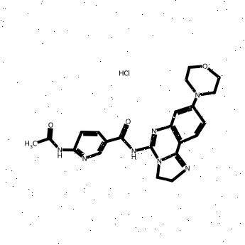 CC(=O)Nc1ccc(C(=O)NC2=Nc3cc(N4CCOCC4)ccc3C3=NCCN23)cn1.Cl